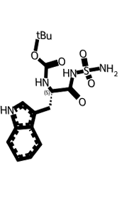 CC(C)(C)OC(=O)N[C@@H](Cc1c[nH]c2ccccc12)C(=O)NS(N)(=O)=O